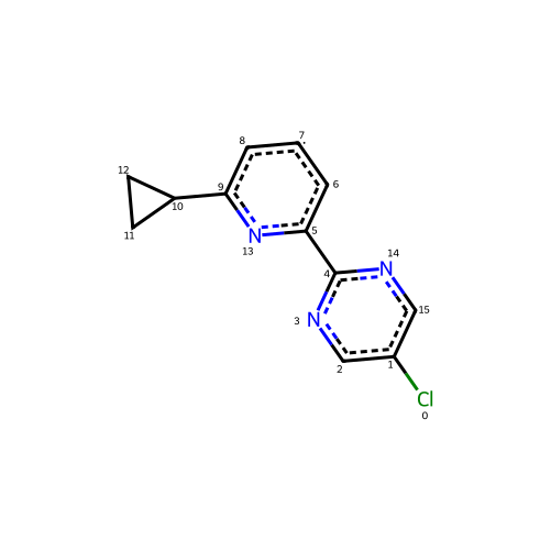 Clc1cnc(-c2c[c]cc(C3CC3)n2)nc1